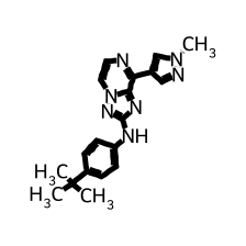 Cn1cc(-c2nccn3nc(Nc4ccc(C(C)(C)C)cc4)nc23)cn1